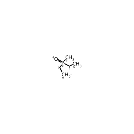 [CH2]CP(C)(=O)CC